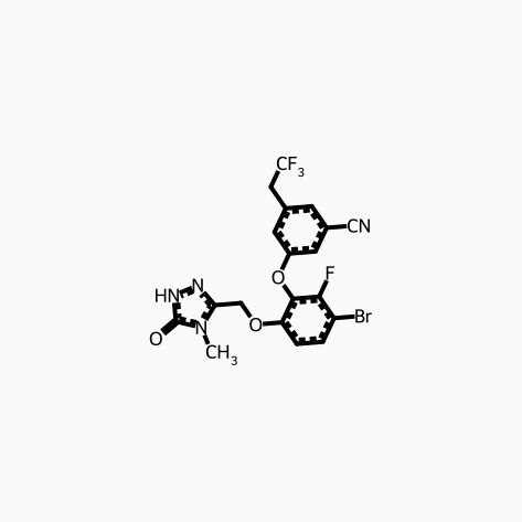 Cn1c(COc2ccc(Br)c(F)c2Oc2cc(C#N)cc(CC(F)(F)F)c2)n[nH]c1=O